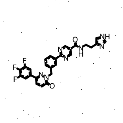 O=C(NCCc1c[nH]cn1)c1cnc(-c2cccc(Cn3nc(-c4cc(F)c(F)c(F)c4)ccc3=O)c2)nc1